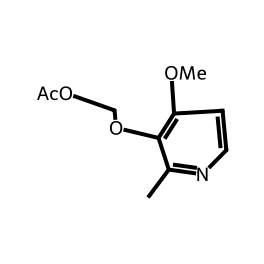 COc1ccnc(C)c1OCOC(C)=O